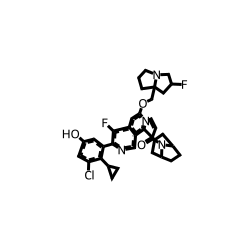 C=CC(=O)N1C2CCC1CC(c1nc(OCC34CCCN3CC(F)C4)cc3c(F)c(-c4cc(O)cc(Cl)c4C4CC4)ncc13)C2